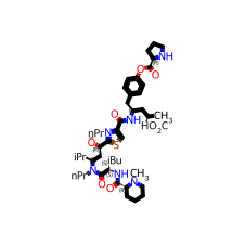 CCCO[C@H](C[C@H](C(C)C)N(CCC)C(=O)[C@@H](NC(=O)[C@H]1CCCCN1C)[C@@H](C)CC)c1nc(C(=O)N[C@@H](Cc2ccc(OC(=O)[C@H]3CCCN3)cc2)C[C@H](C)C(=O)O)cs1